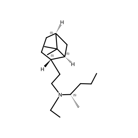 CCC[C@H](C)N(CC)CC[C@@H]1CC[C@H]2C[C@@H]1C2(C)C